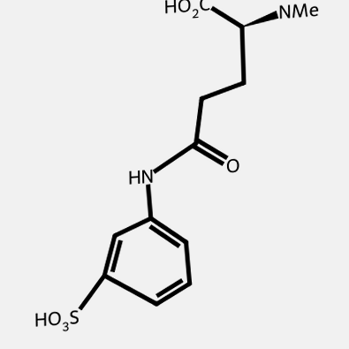 CN[C@@H](CCC(=O)Nc1cccc(S(=O)(=O)O)c1)C(=O)O